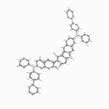 Cc1c2c(cc3oc4cc5cc(N(c6ccccc6)c6ccc(-c7ccccc7)cc6)ccc5cc4c13)oc1cc3cc(N(c4ccccc4)c4ccc(-c5ccccc5)cc4)ccc3cc12